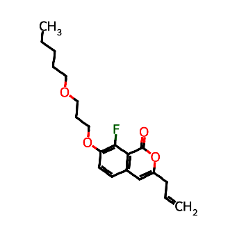 C=CCc1cc2ccc(OCCCOCCCCC)c(F)c2c(=O)o1